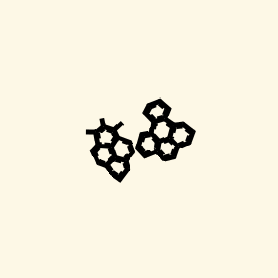 Cc1c(C)c2ccc3cccc4ccc(c1C)c2c34.c1ccc2c(c1)c1cccc3ccc4cccc2c4c31